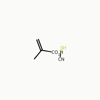 C=C(C)C(=O)O.N#CS